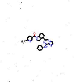 Cc1ccc(C(=O)N2CCc3c(-c4cn5ccnc5c(Nc5cc[c]cc5)n4)cccc32)cn1